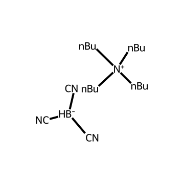 CCCC[N+](CCCC)(CCCC)CCCC.N#C[BH-](C#N)C#N